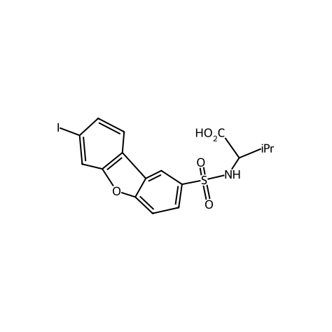 CC(C)C(NS(=O)(=O)c1ccc2oc3cc(I)ccc3c2c1)C(=O)O